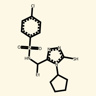 CCC(NS(=O)(=O)c1ccc(Cl)cc1)c1nnc(S)n1C1CCCC1